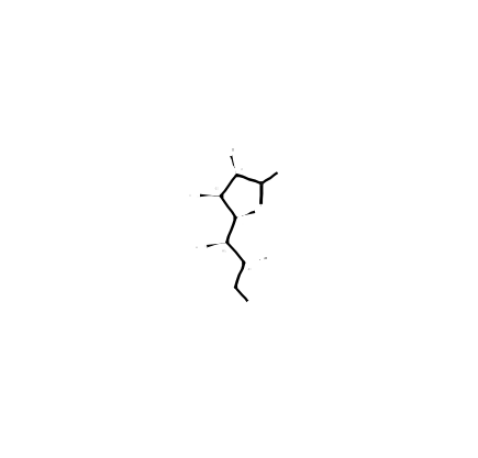 OC[C@@H](O)[C@@H](O)[C@@H]1OC(O)[C@H](O)[C@@H]1O